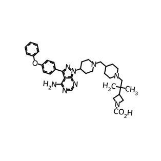 CC(C)(CN1CCC(CN2CCC(n3nc(-c4ccc(Oc5ccccc5)cc4)c4c(N)ncnc43)CC2)CC1)C1CN(C(=O)O)C1